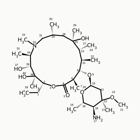 CC[C@H]1OC(=O)[C@H](C)[C@@H](O[C@H]2C[C@@](C)(OC)[C@@H](N)[C@H](C)O2)[C@H](C)[C@@H](C)[C@](C)(O)C[C@@H](C)CN(C)[C@H](C)[C@@H](O)[C@]1(C)O